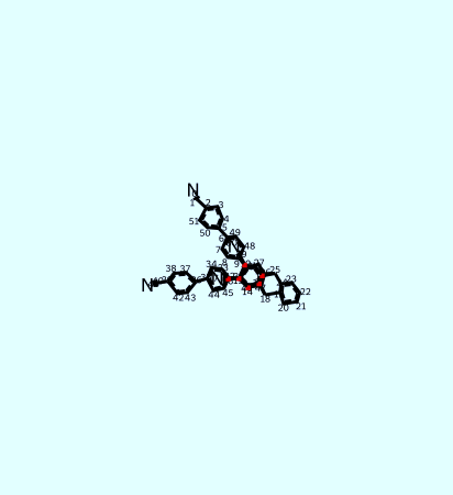 N#Cc1ccc(-c2ccc(-c3cc4c(cc3C#N)C3c5ccccc5C4c4cc(C#N)c(-c5ccc(-c6ccc(C#N)cc6)cc5)cc43)cc2)cc1